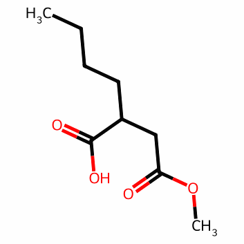 CCCCC(CC(=O)OC)C(=O)O